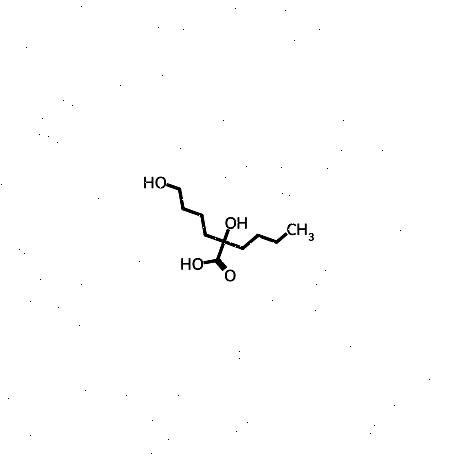 CCCCC(O)(CCCCO)C(=O)O